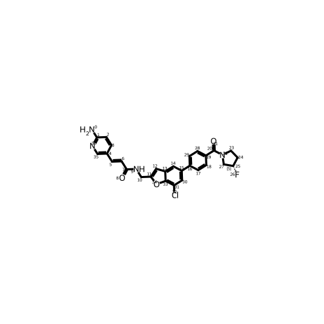 Nc1ccc(C=CC(=O)NCc2cc3cc(-c4ccc(C(=O)N5CC[C@H](F)C5)cc4)cc(Cl)c3o2)cn1